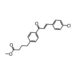 COC(=O)CCCc1ccc(C(=O)C=Cc2ccc(Cl)cc2)cc1